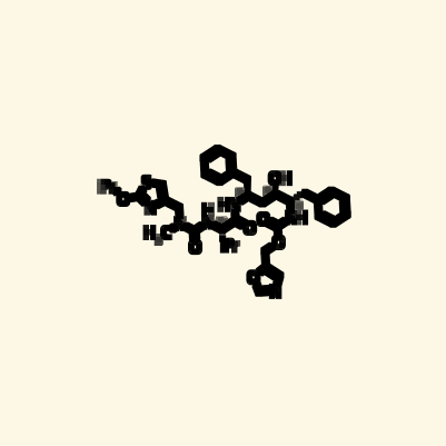 CC(C)Oc1nc(CN(C)C(=O)N[C@H](C(=O)N[C@@H](Cc2ccccc2)C[C@H](O)[C@H](Cc2ccccc2)NC(=O)OCc2cnco2)C(C)C)cs1